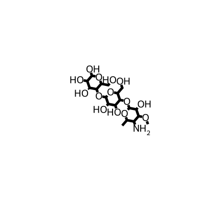 COC1C(N)C(C)OC(OC2C(CO)OC(OC3C(CO)OC(O)C(O)[C@@H]3O)C(O)C2O)C1O